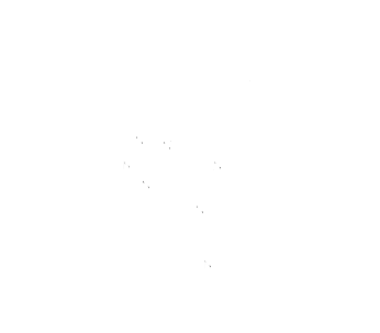 Fc1cc2nc(N3CCNCC3)c3nnnn3c2cc1Cl